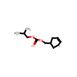 CC(C)COC(=O)OCC1CC=CCC1